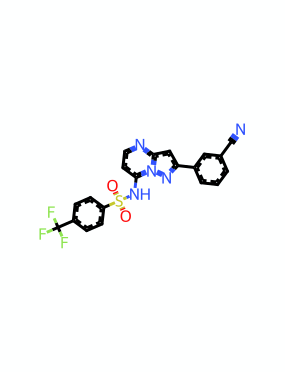 N#Cc1cccc(-c2cc3nccc(NS(=O)(=O)c4ccc(C(F)(F)F)cc4)n3n2)c1